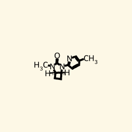 Cc1ccc(N2C(=O)N(C)[C@H]3CC[C@H]32)nc1